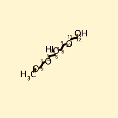 COCCOCCOCCOCCO.I